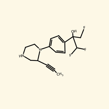 CC#CC1CNCCN1c1ccc(C(O)(CF)C(F)F)cc1